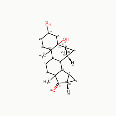 CC12CCC3C(C1C1C[C@@H]1C2=O)[C@H]1C[C@H]1C1(O)CC(O)CCC31C